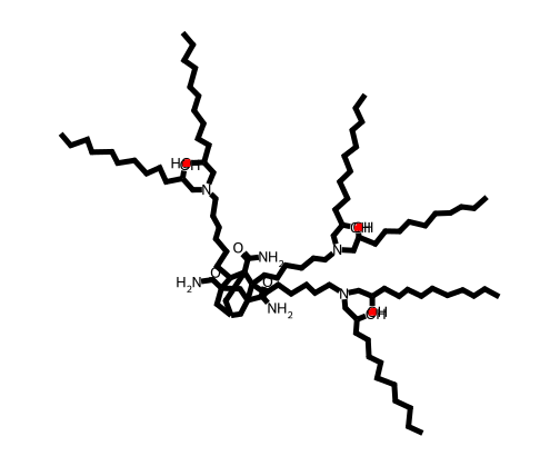 CCCCCCCCCCC(O)CN(CCCCCCC1C2(C(N)=O)CC3CC(C(N)=O)(C2)C(CCCCCCN(CC(O)CCCCCCCCCC)CC(O)CCCCCCCCCC)(CCCCCCN(CC(O)CCCCCCCCCC)CC(O)CCCCCCCCCC)C1(C(N)=O)C3)CC(O)CCCCCCCCCC